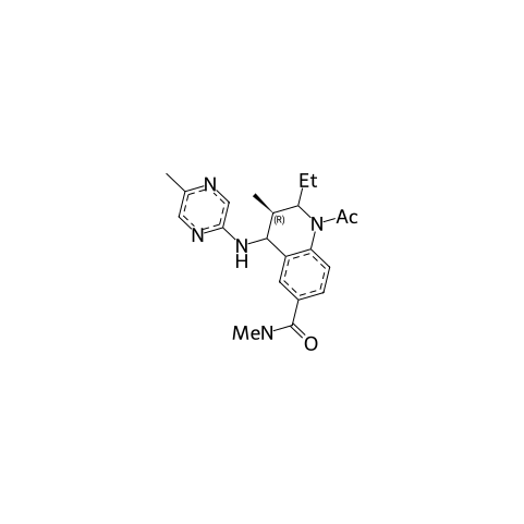 CCC1[C@H](C)C(Nc2cnc(C)cn2)c2cc(C(=O)NC)ccc2N1C(C)=O